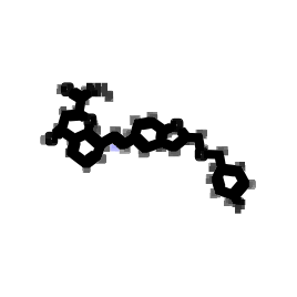 NC(=O)c1cc(=O)c2cccc(/C=C/c3ccc4c(c3)CC(COCc3ccc(F)cc3)O4)c2o1